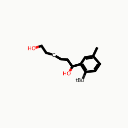 Cc1ccc(C(C)(C)C)c(C(O)CCCCCO)c1